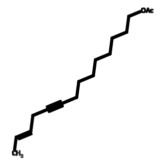 C/C=C/CC#CCCCCCCCCOC(C)=O